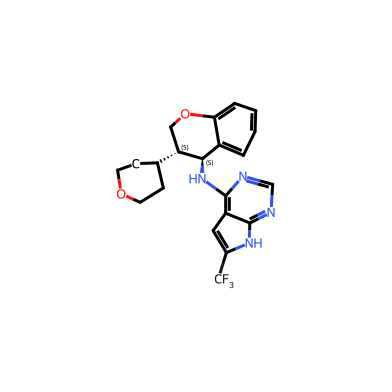 FC(F)(F)c1cc2c(N[C@@H]3c4ccccc4OC[C@H]3C3CCOCC3)ncnc2[nH]1